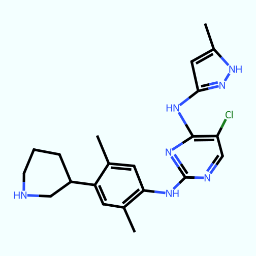 Cc1cc(Nc2nc(Nc3cc(C)c(C4CCCNC4)cc3C)ncc2Cl)n[nH]1